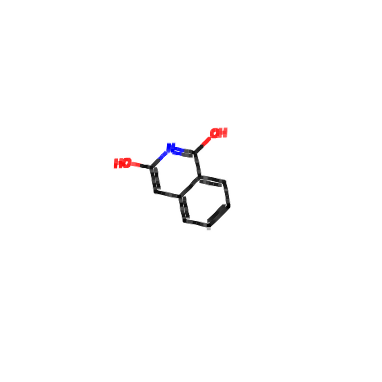 Oc1cc2c[c]ccc2c(O)n1